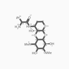 CNC1C(O)C(NC)[C@H](O)C2OC3OCCC(NC(=O)C(N)C(C)C)[C@]3(O)OC12